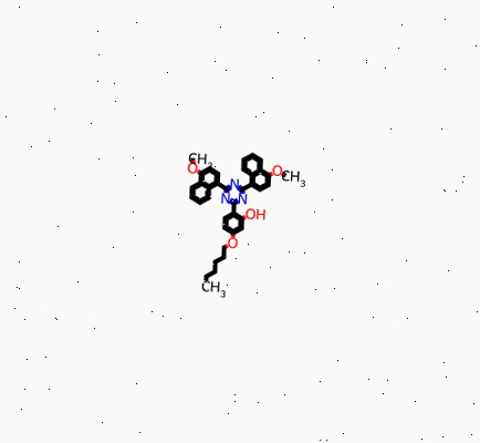 CCCCCCOc1ccc(-c2nc(-c3ccc(OC)c4ccccc34)nc(-c3ccc(OC)c4ccccc34)n2)c(O)c1